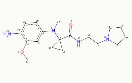 COc1cc(N(C)C2(C(=O)NCCN3CCCC3)CC2)ccc1N